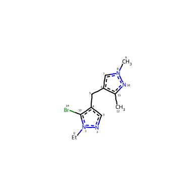 CCn1ncc(Cc2cn(C)nc2C)c1Br